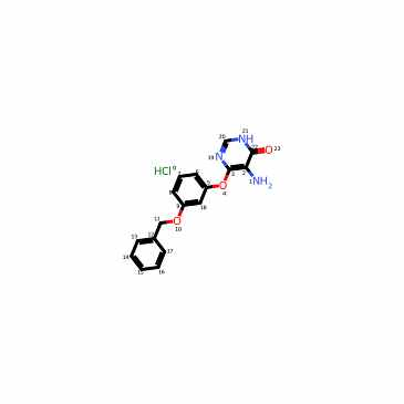 Cl.Nc1c(Oc2cccc(OCc3ccccc3)c2)nc[nH]c1=O